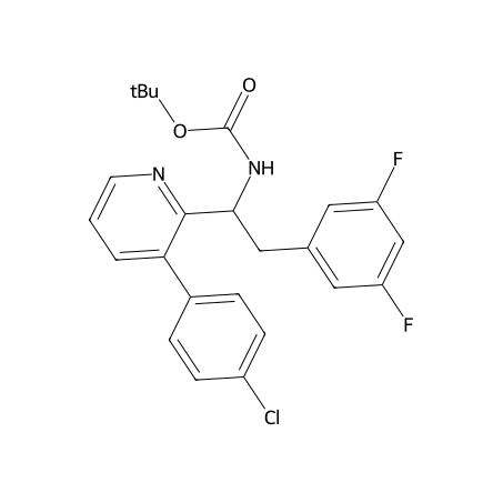 CC(C)(C)OC(=O)NC(Cc1cc(F)cc(F)c1)c1ncccc1-c1ccc(Cl)cc1